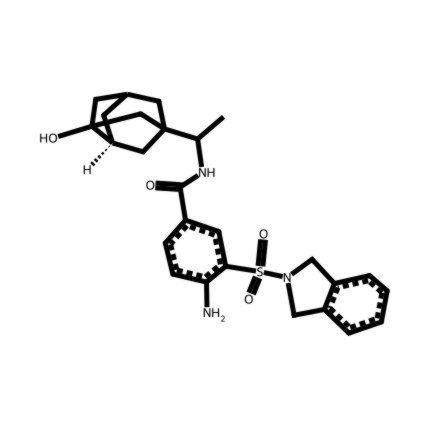 CC(NC(=O)c1ccc(N)c(S(=O)(=O)N2Cc3ccccc3C2)c1)C12CC3C[C@@H](C1)C(O)(C3)C2